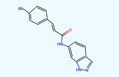 CC(C)(C)c1ccc(/C=C/C(=O)Nc2ccc3cn[nH]c3c2)cc1